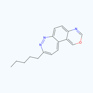 CCCCCC1=CC=c2c(ccc3c2=COC=N3)N=N1